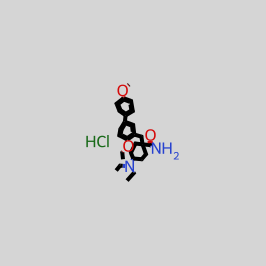 CCOc1ccc(-c2ccc(OC)cc2)cc1CC1(C(N)=O)CCC(N(CC)CC)CC1.Cl